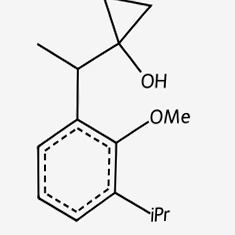 COc1c(C(C)C)cccc1C(C)C1(O)CC1